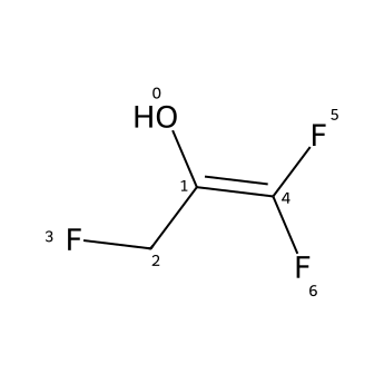 OC(CF)=C(F)F